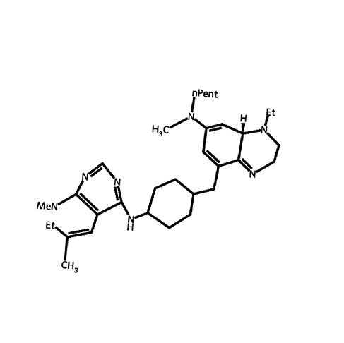 CCCCCN(C)C1=C[C@H]2C(=NCCN2CC)C(CC2CCC(Nc3ncnc(NC)c3/C=C(/C)CC)CC2)=C1